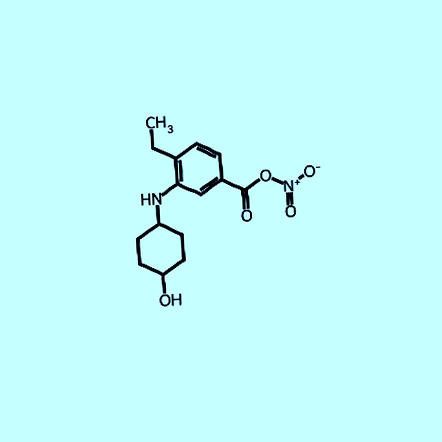 CCc1ccc(C(=O)O[N+](=O)[O-])cc1NC1CCC(O)CC1